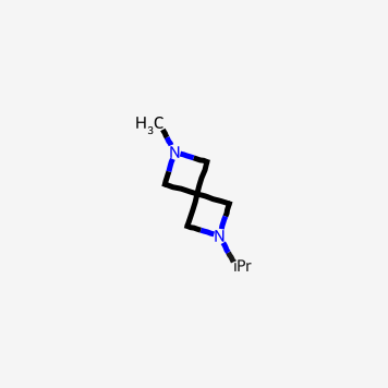 CC(C)N1CC2(CN(C)C2)C1